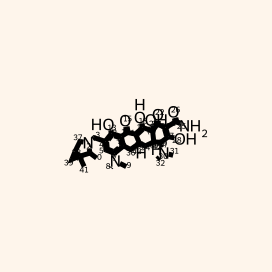 CC1N(Cc2cc(N(C)C)c3c(c2O)C(=O)C2=C(O)[C@]4(O)C(=O)C(C(N)=O)=C(O)[C@@H](N(C)C)[C@@H]4C[C@@H]2C3)CC2CC21C